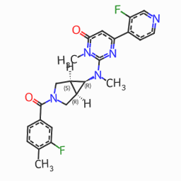 Cc1ccc(C(=O)N2C[C@@H]3[C@H](C2)[C@@H]3N(C)c2nc(-c3ccncc3F)cc(=O)n2C)cc1F